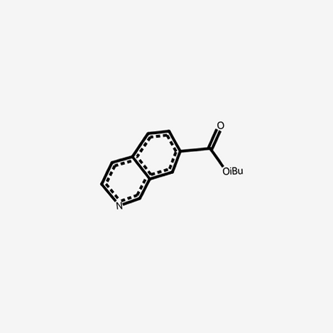 CC(C)COC(=O)c1ccc2ccncc2c1